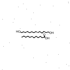 CCCCCCCCCCCC(=O)O.OCCCCCCCCCCCCCCO